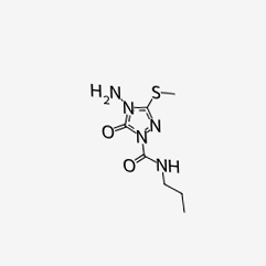 CCCNC(=O)n1nc(SC)n(N)c1=O